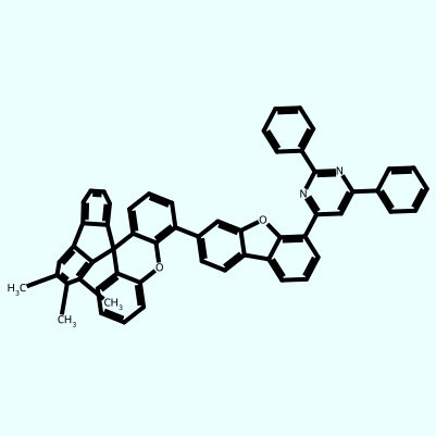 Cc1cc2c(c(C)c1C)C1(c3ccccc3Oc3c(-c4ccc5c(c4)oc4c(-c6cc(-c7ccccc7)nc(-c7ccccc7)n6)cccc45)cccc31)c1ccccc1-2